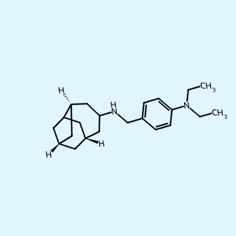 CCN(CC)c1ccc(CNC2C[C@H]3CC4C[C@@H](C3)C[C@@H]4C2)cc1